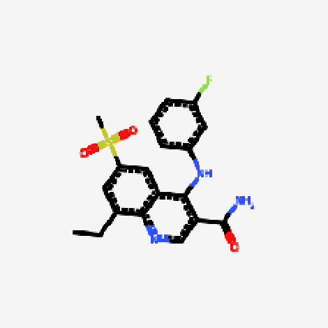 CCc1cc(S(C)(=O)=O)cc2c(Nc3cccc(F)c3)c(C(N)=O)cnc12